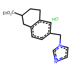 CCOC(=O)C1CCc2cc(Cn3ccnc3)ccc2C1.Cl